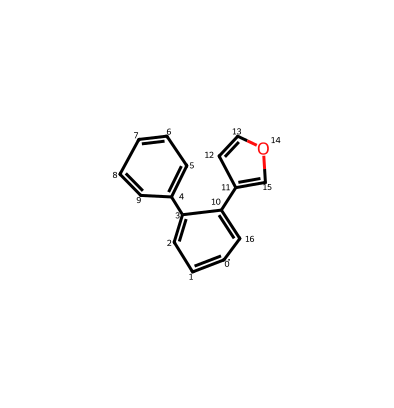 [c]1ccc(-c2ccccc2)c(-c2ccoc2)c1